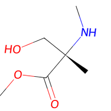 CN[C@@](C)(CO)C(=O)OC